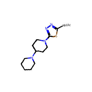 CC(=O)Nc1nnc(N2CCC(N3CCCCC3)CC2)s1